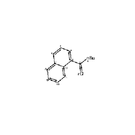 CCCCC(=O)c1cccc2c[c]ccc12